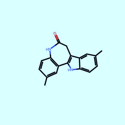 Cc1ccc2c(c1)-c1[nH]c3ccc(C)cc3c1CC(=O)N2